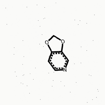 c1cc2c(cn1)OCO2